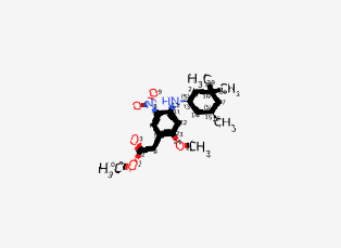 COC(=O)Cc1cc([N+](=O)[O-])c(N[C@H]2C[C@@H](C)CC(C)(C)C2)cc1OC